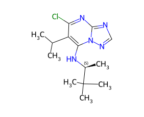 CC(C)c1c(Cl)nc2ncnn2c1N[C@@H](C)C(C)(C)C